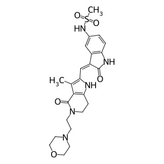 Cc1c(C=C2C(=O)Nc3ccc(NS(C)(=O)=O)cc32)[nH]c2c1C(=O)N(CCN1CCOCC1)CC2